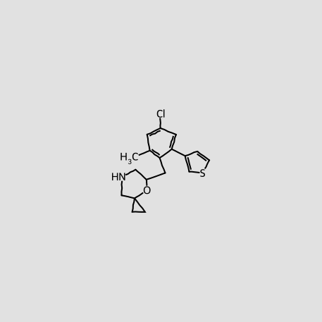 Cc1cc(Cl)cc(-c2ccsc2)c1CC1CNCC2(CC2)O1